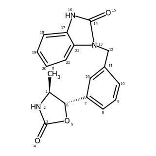 C[C@@H]1NC(=O)O[C@H]1c1cccc(Cn2c(=O)[nH]c3ccccc32)c1